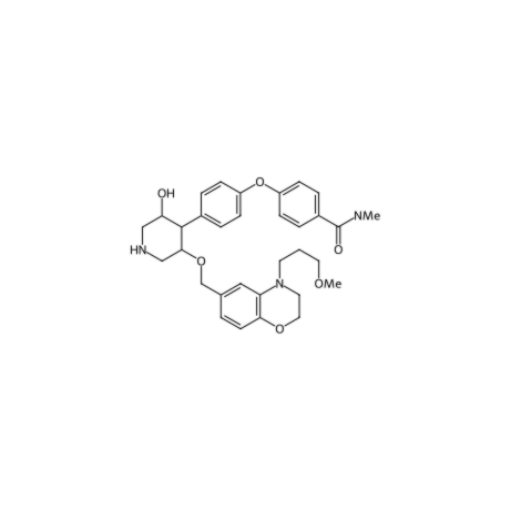 CNC(=O)c1ccc(Oc2ccc(C3C(O)CNCC3OCc3ccc4c(c3)N(CCCOC)CCO4)cc2)cc1